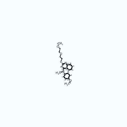 COCCOCCOc1nc(N(C)c2ccc(OC)cc2)c2ccccc2n1